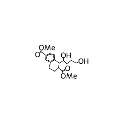 COC(=O)c1ccc2c(c1)CCC(C(=O)OC)C2C(O)CCCO